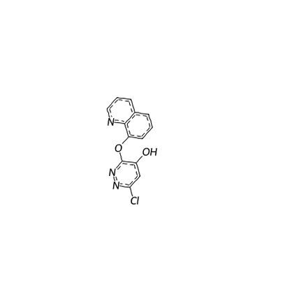 Oc1cc(Cl)nnc1Oc1cccc2cccnc12